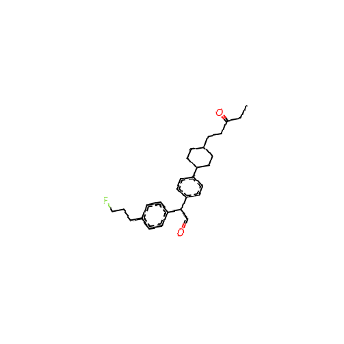 CCC(=O)CCC1CCC(c2ccc(C(C=O)c3ccc(CCCF)cc3)cc2)CC1